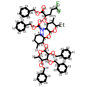 CCC1OC(OC2CCCC(C)C2OC2OC(C)C(OCc3ccccc3)C(OCc3ccccc3)C2OCc2ccccc2)C(NC(=O)OCc2ccccc2)C(OC(CCC(F)F)C(=O)OCc2ccccc2)C1C